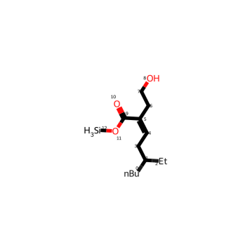 CCCCC(CC)CC=C(CCO)C(=O)O[SiH3]